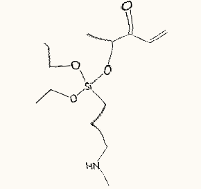 C=CC(=O)C(C)O[Si](CCCNC)(OCC)OCC